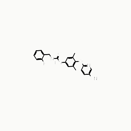 Cc1cc(NC(=O)NCc2ccccc2F)cc(C)c1Oc1ccc(C#N)cn1